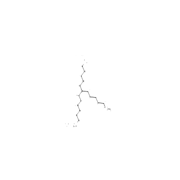 CCCNCCCCC[C](CCCCCCNC)CCCCCNCC